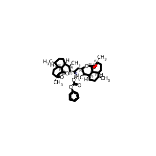 C[C@H]1[C@@H](/C(C[C@H]2O[C@@H]3C[C@]4(C)CC[C@H]5[C@H](C)CC[C@@H]([C@H]2C)[C@@]35OO4)=N\OC(=O)Oc2ccccc2)O[C@@H]2C[C@]3(C)CC[C@H]4[C@H](C)CC[C@@H]1[C@@]24OO3